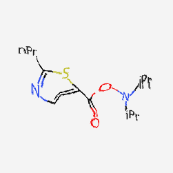 CCCc1ncc(C(=O)ON(C(C)C)C(C)C)s1